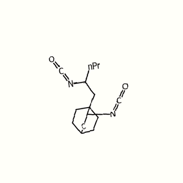 CCCC(CC12CCC(CC1)CC2N=C=O)N=C=O